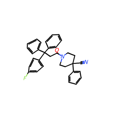 N#CC1(c2ccccc2)CCN(C(=O)CC(c2ccccc2)(c2ccccc2)c2ccc(F)cc2)CC1